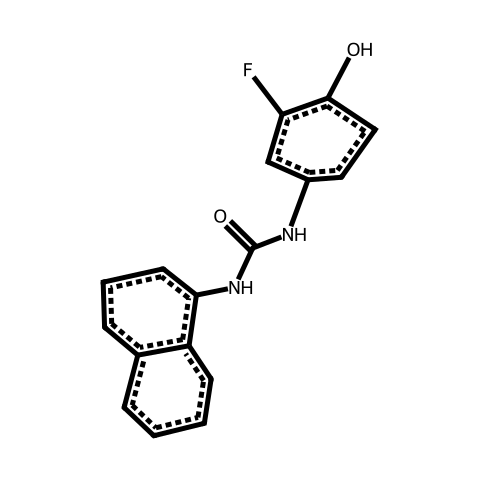 O=C(Nc1ccc(O)c(F)c1)Nc1cccc2ccccc12